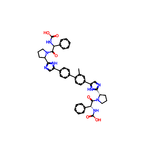 Cc1cc(-c2cnc([C@@H]3CCCN3C(=O)[C@H](NC(=O)O)c3ccccc3)[nH]2)ccc1-c1ccc(-c2cnc(C3CCCN3C(=O)C(NC(=O)O)c3ccccc3)[nH]2)cc1